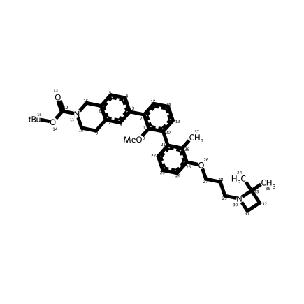 COc1c(-c2ccc3c(c2)CCN(C(=O)OC(C)(C)C)C3)cccc1-c1cccc(OCCCN2CCC2(C)C)c1C